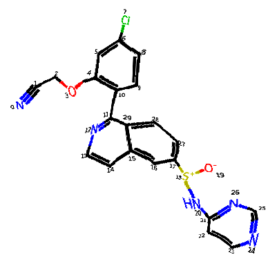 N#CCOc1cc(Cl)ccc1-c1nccc2cc([S+]([O-])Nc3ccncn3)ccc12